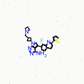 Nc1ncnc2c1c(-c1ccc3ccc(-c4cccs4)nc3c1F)cn2C1CC(CN2CCC2)C1